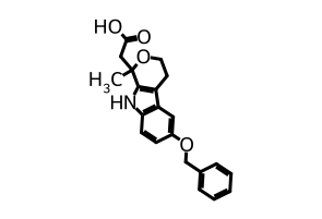 CC1(CC(=O)O)OCCc2c1[nH]c1ccc(OCc3ccccc3)cc21